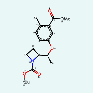 COC(=O)c1cc(O[C@@H](C)[C@@H]2CCN2C(=O)OC(C)(C)C)ccc1C